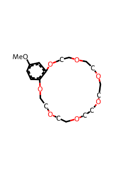 COc1ccc2c(c1)OCCOCCOCCOCCOCCOCCO2